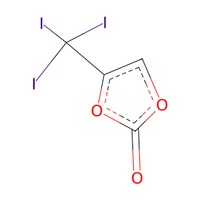 O=c1occ(C(I)(I)I)o1